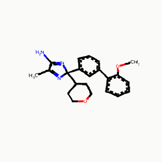 COc1ccccc1-c1cccc(C2(C3CCOCC3)N=C(C)C(N)=N2)c1